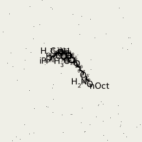 CCCCCCCCOC[C@H](N)COCCCCO[C@H]1CC[C@@]2(C)C(=CC[C@H]3[C@@H]4CC[C@H]([C@H](C)CCCC(C)C)[C@@]4(C)CC[C@@H]32)C1